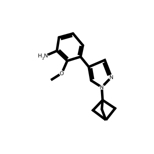 COc1c(N)cccc1-c1cnn(C23CC(C2)C3)c1